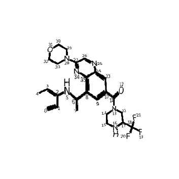 C=C/C(=C\C)NC(C)c1cc(C(=O)N2CCNC(C(F)(F)F)C2)cc2ncc(N3CCOCC3)nc12